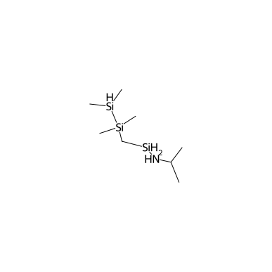 CC(C)N[SiH2]C[Si](C)(C)[SiH](C)C